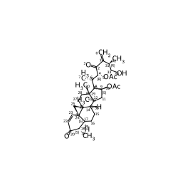 C=C(C(=O)[C@H](OC(C)=O)[C@@H](C)[C@H]1[C@@H](OC(C)=O)C[C@@]2(C)[C@@H]3CC[C@H]4[C@H](C)C(=O)C=C[C@@]45C[C@@]35CC[C@]12C)[C@@H](C)CO